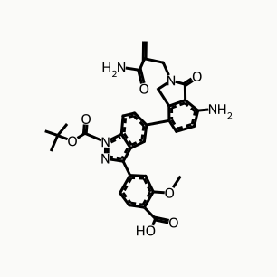 C=C(CN1Cc2c(-c3ccc4c(c3)c(-c3ccc(C(=O)O)c(OC)c3)nn4C(=O)OC(C)(C)C)ccc(N)c2C1=O)C(N)=O